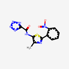 Cc1nc(-c2ccccc2[N+](=O)[O-])sc1NC(=O)c1nnn[nH]1